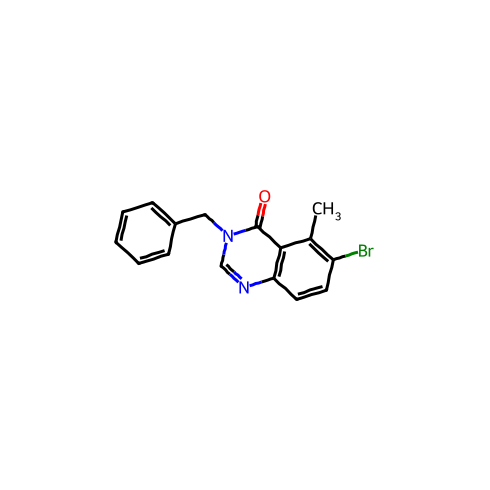 Cc1c(Br)ccc2ncn(Cc3ccccc3)c(=O)c12